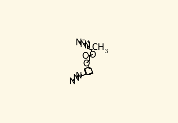 CC(CN=[N+]=[N-])OC(=O)COc1cccc(CN=[N+]=[N-])c1